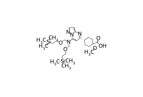 CO[C@]1(C(=O)O)CC[C@H](c2cc(N(COCC[Si](C)(C)C)COCC[Si](C)(C)C)n3nccc3n2)CC1